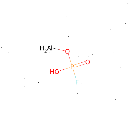 O=P(O)(F)[O][AlH2]